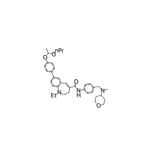 CCCOC(C)Oc1ccc(-c2ccc3c(c2)C=C(C(=O)Nc2ccc(CN(C)C4CCOCC4)cc2)CCN3CC)cc1